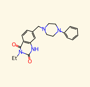 CCn1c(=O)[nH]c2cc(CN3CCN(c4ccccc4)CC3)ccc2c1=O